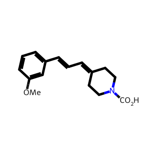 COc1cccc(C=CC=C2CCN(C(=O)O)CC2)c1